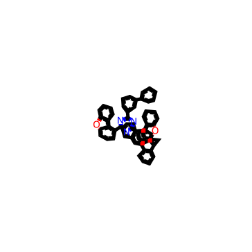 c1ccc(-c2cccc(-c3nc(-c4cccc5oc6ccccc6c45)nc(-c4ccc(C56CC5c5cc7ccccc7cc5-c5ccccc56)c5oc6ccccc6c45)n3)c2)cc1